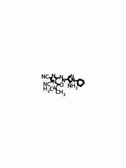 CN(C)C(=O)n1c(/N=N/c2cnn(-c3ccccc3)c2N)nc(C#N)c1C#N